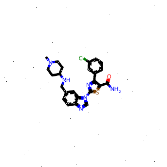 CN1CCC(NCc2ccc3ncn(-c4nc(-c5cccc(Cl)c5)c(C(N)=O)s4)c3c2)CC1